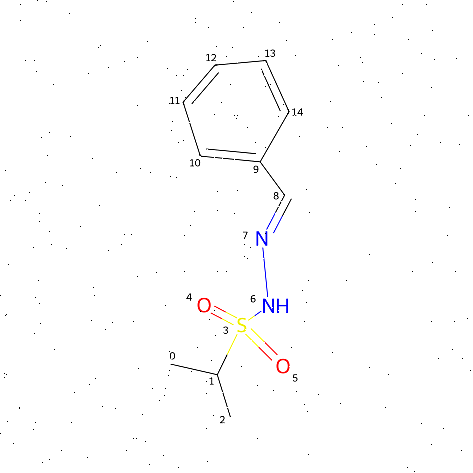 CC(C)S(=O)(=O)NN=Cc1ccccc1